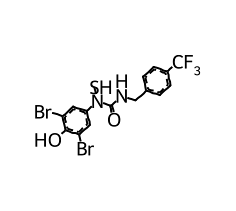 O=C(NCc1ccc(C(F)(F)F)cc1)N(S)c1cc(Br)c(O)c(Br)c1